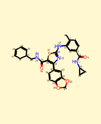 Cc1ccc(C(=O)NC2CC2)cc1Nc1nc(-c2ccc3c(c2)OCO3)c(C(=O)NCC2C=CC=CC2)s1